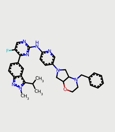 CC(C)c1c2cc(-c3nc(Nc4ccc(N5CC6OCCN(Cc7ccccc7)C6C5)cn4)ncc3F)ccc2nn1C